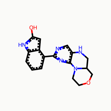 Oc1cc2c(-c3ncc4c(n3)N3CCOCC3CN4)cccc2[nH]1